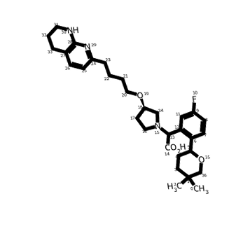 CC1(C)CCC(c2ccc(F)cc2C(C(=O)O)N2CC[C@@H](OCCCCc3ccc4c(n3)NCCC4)C2)OC1